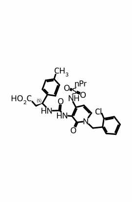 CCCS(=O)(=O)Nc1ccn(Cc2ccccc2Cl)c(=O)c1NC(=O)N[C@@H](CC(=O)O)c1ccc(C)cc1